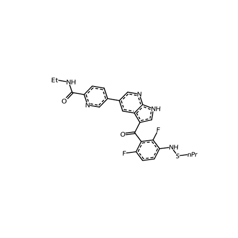 CCCSNc1ccc(F)c(C(=O)c2c[nH]c3ncc(-c4ccc(C(=O)NCC)nc4)cc23)c1F